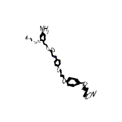 N#CCCCOc1ccc(OCCCOc2ccc(/C=C/C(=O)OCCc3ccc(N)cc3N)cc2)cc1